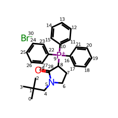 CC(C)(C)CN1CCC([P+](c2ccccc2)(c2ccccc2)c2ccccc2)C1=O.[Br-]